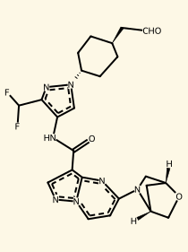 O=CC[C@H]1CC[C@H](n2cc(NC(=O)c3cnn4ccc(N5C[C@H]6C[C@@H]5CO6)nc34)c(C(F)F)n2)CC1